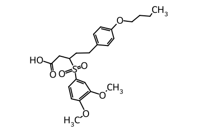 CCCCOc1ccc(CCC(CC(=O)O)S(=O)(=O)c2ccc(OC)c(OC)c2)cc1